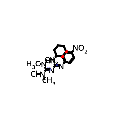 CN(C)/C(=N\C(=N\c1ccc([N+](=O)[O-])cc1)NC1CCCCC1)N(C)Cl